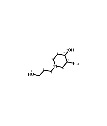 OCCCN1CCC(O)C(F)C1